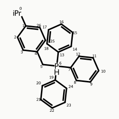 CC(C)c1ccc(C[PH](c2ccccc2)(c2ccccc2)c2ccccc2)cc1